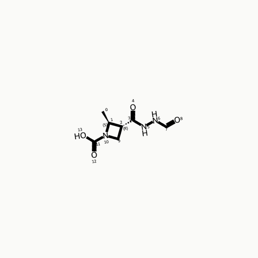 C[C@H]1[C@H](C(=O)NNC=O)CN1C(=O)O